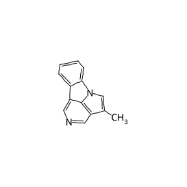 Cc1cn2c3ccccc3c3cncc1c32